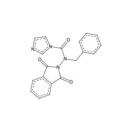 O=C1c2ccccc2C(=O)N1N(Cc1ccccc1)C(=O)n1ccnc1